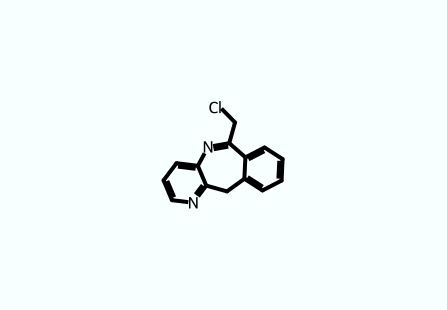 ClCC1=Nc2cccnc2Cc2ccccc21